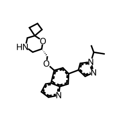 CC(C)n1cc(-c2cc(OC[C@@H]3CNCC4(CCC4)O3)c3cccnc3c2)cn1